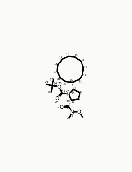 CON(C)C(=O)[C@H]1CC[C@@H](C2CCCCCCCCCCC2)N1C(=O)OC(C)(C)C